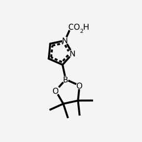 CC1(C)OB(c2ccn(C(=O)O)n2)OC1(C)C